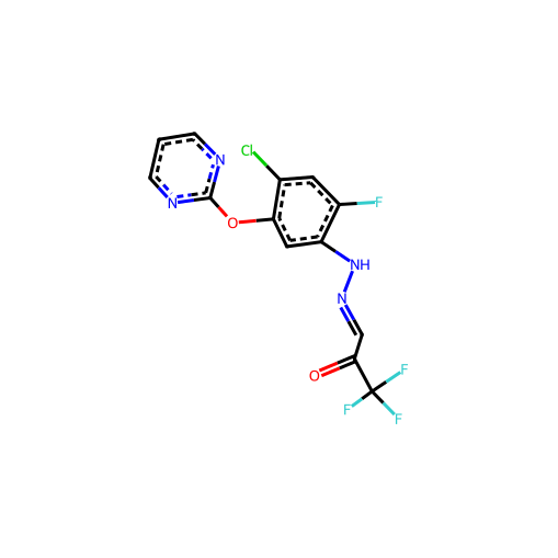 O=C(C=NNc1cc(Oc2ncccn2)c(Cl)cc1F)C(F)(F)F